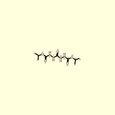 CC(C)OC(=O)NNC(=O)NNC(=O)OC(C)C